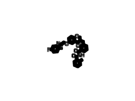 Cc1ccccc1C(=O)NC(=O)c1cccc(CC2COc3ccc(OCc4nc5cc(F)ccc5s4)cc3C2O)c1